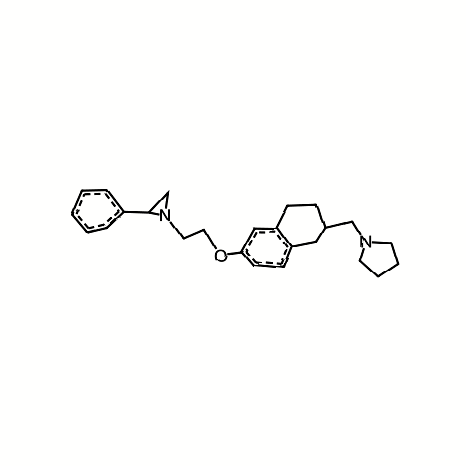 c1ccc(C2CN2CCOc2ccc3c(c2)CCC(CN2CCCC2)C3)cc1